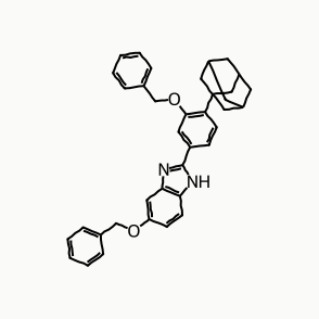 c1ccc(COc2ccc3[nH]c(-c4ccc(C56CC7CC(CC(C7)C5)C6)c(OCc5ccccc5)c4)nc3c2)cc1